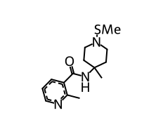 CSN1CCC(C)(NC(=O)c2cccnc2C)CC1